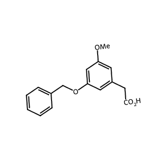 COc1cc(CC(=O)O)cc(OCc2ccccc2)c1